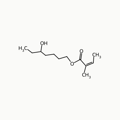 CC=C(C)C(=O)OCCCCC(O)CC